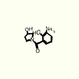 Nc1cccc(C(=O)N2CCC(O)C2)c1O